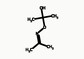 CC(C)=NOC(C)(C)O